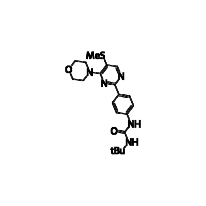 CSc1cnc(-c2ccc(NC(=O)NC(C)(C)C)cc2)nc1N1CCOCC1